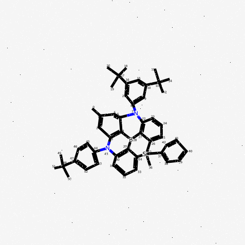 Cc1cc2c3c(c1)N(c1cc(C(C)(C)C)cc(C(C)(C)C)c1)c1cccc4c1B3c1c(cccc1[Si]4(C)c1ccccc1)N2c1ccc(C(C)(C)C)cc1